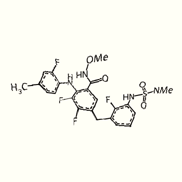 CNS(=O)(=O)Nc1cccc(Cc2cc(C(=O)NOC)c(Nc3ccc(C)cc3F)c(F)c2F)c1F